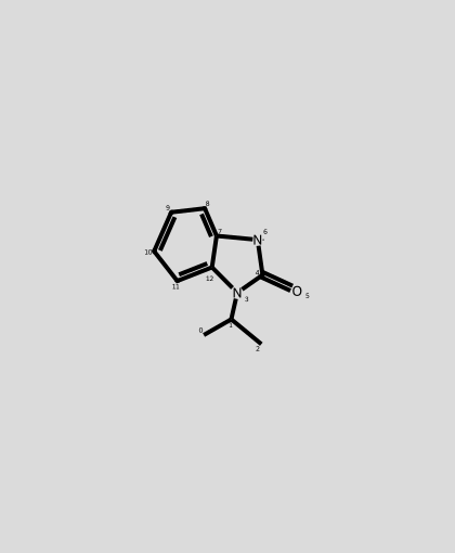 CC(C)N1C(=O)[N]c2ccccc21